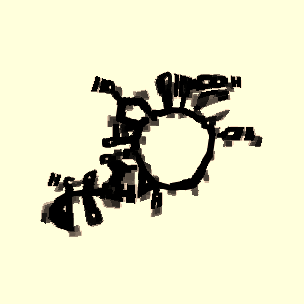 CC[C@@H]1O[C@H](C)CC/C=C\[C@@H]2C[C@@]2(C(=O)NS(=O)(=O)C2(C)CC2)NC(=O)[C@@H]2C[C@@H](O)CN2C(=O)[C@H]1NC(=O)O